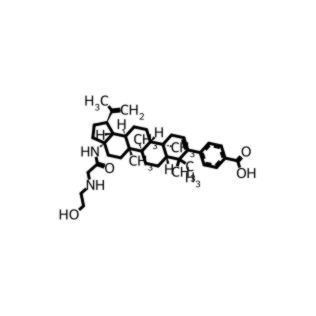 C=C(C)[C@@H]1CC[C@]2(NC(=O)CNCCO)CC[C@]3(C)[C@H](CC[C@@H]4[C@@]5(C)CC=C(c6ccc(C(=O)O)cc6)C(C)(C)[C@@H]5CC[C@]43C)[C@@H]12